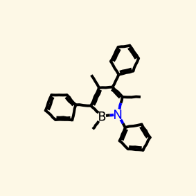 CB1C(c2ccccc2)=C(C)C(c2ccccc2)=C(C)N1c1ccccc1